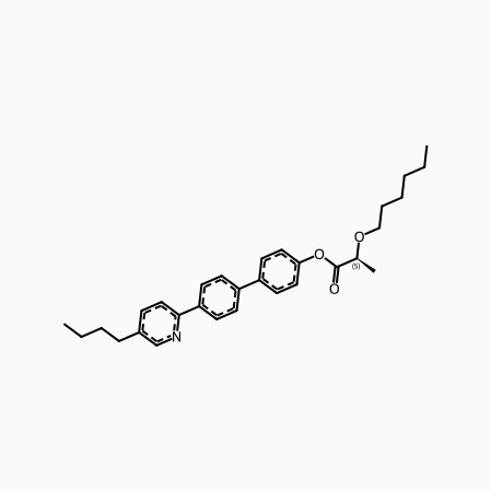 CCCCCCO[C@@H](C)C(=O)Oc1ccc(-c2ccc(-c3ccc(CCCC)cn3)cc2)cc1